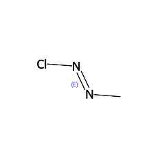 C/N=N/Cl